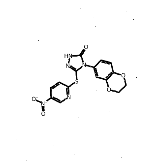 O=c1[nH]nc(Sc2ccc([N+](=O)[O-])cn2)n1-c1ccc2c(c1)OCCO2